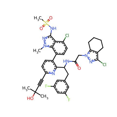 Cn1nc(NS(C)(=O)=O)c2c(Cl)ccc(-c3ccc(C#CC(C)(C)O)nc3C(Cc3cc(F)cc(F)c3)NC(=O)Cn3nc(Cl)c4c3CCCC4)c21